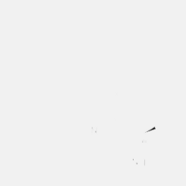 C[C@@H](N)C(=O)N(CCc1cccc(F)c1F)CC(F)(F)F